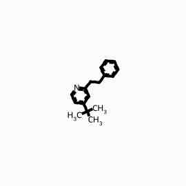 CC(C)(C)c1ccnc(CCc2ccccc2)c1